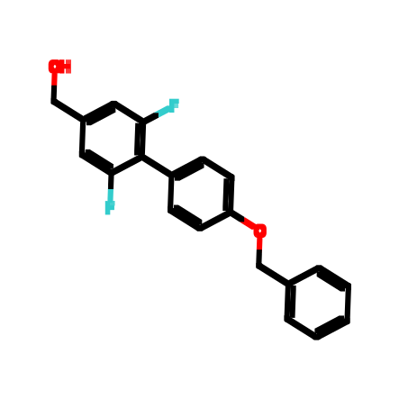 OCc1cc(F)c(-c2ccc(OCc3ccccc3)cc2)c(F)c1